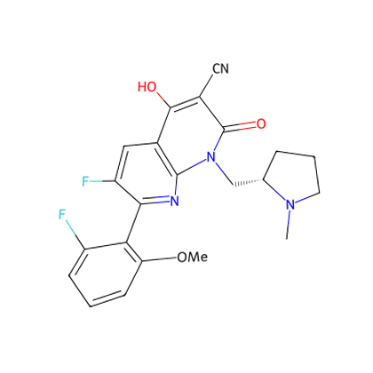 COc1cccc(F)c1-c1nc2c(cc1F)c(O)c(C#N)c(=O)n2C[C@@H]1CCCN1C